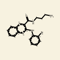 NCCCNC(=O)c1nc2ccccc2nc1Nc1ccccc1Br